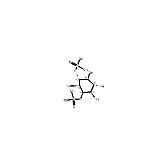 O=P(O)(O)O[C@H]1[C@@H](O)[C@H](OP(=O)(O)O)[C@@H](O)[C@H](O)[C@H]1O